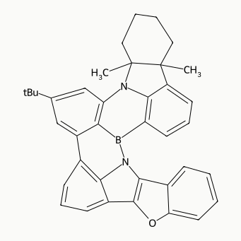 CC(C)(C)c1cc2c3c(c1)N1c4c(cccc4C4(C)CCCCC14C)B3n1c3c-2cccc3c2oc3ccccc3c21